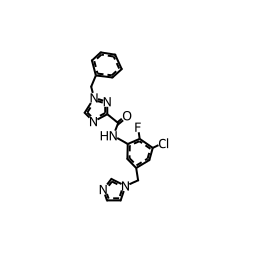 O=C(Nc1cc(Cn2ccnc2)cc(Cl)c1F)c1ncn(Cc2ccccc2)n1